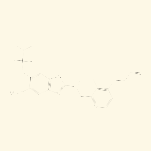 C=CCOc1ccnc(C[S+]([O-])c2nc3cc(OC)c(OC(F)(F)C(F)F)cc3[nH]2)c1C